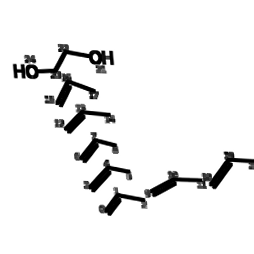 C=CC.C=CC.C=CC.C=CC.C=CC.C=CC.C=CC.OCCO